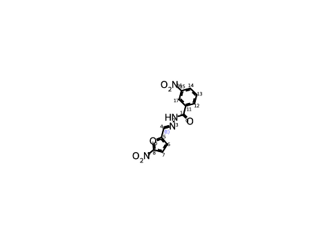 O=C(N/N=C/c1ccc([N+](=O)[O-])o1)c1cccc([N+](=O)[O-])c1